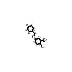 Clc1ccc(OCc2ccccc2)cc1Br